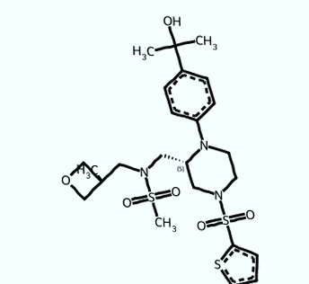 CC1(CN(C[C@H]2CN(S(=O)(=O)c3cccs3)CCN2c2ccc(C(C)(C)O)cc2)S(C)(=O)=O)COC1